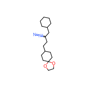 [N-]=[N+]=C(CCC1CCC2(CC1)OCCO2)CC1CCCCC1